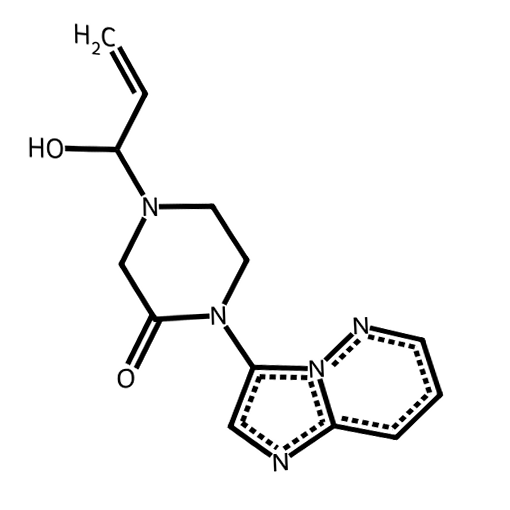 C=CC(O)N1CCN(c2cnc3cccnn23)C(=O)C1